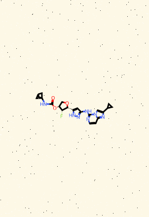 O=C(NC12CC(C1)C2)O[C@@H]1CO[C@H](c2cc(Nc3nccc4nc(C5CC5)cn34)n[nH]2)[C@@H]1F